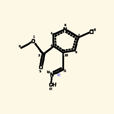 COC(=O)c1cnc(Cl)cc1/C=N/O